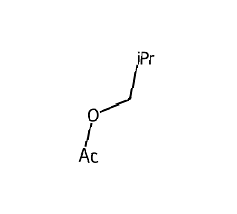 [CH2]C(C)COC(C)=O